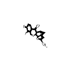 Cc1cc2ccc3c(c2o1)SCc1c(ccc(F)c1F)C3=O